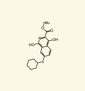 CCCCOC(=O)c1nc(O)c2cc(SC3CCCCC3)ccc2c1O